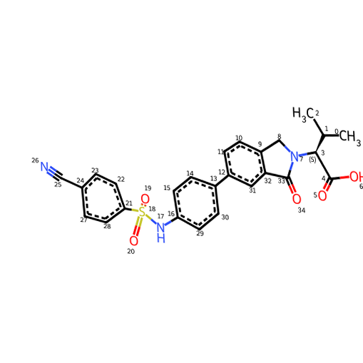 CC(C)[C@@H](C(=O)O)N1Cc2ccc(-c3ccc(NS(=O)(=O)c4ccc(C#N)cc4)cc3)cc2C1=O